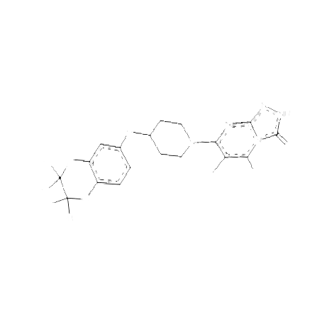 [2H]C1([2H])Oc2ccc(OC3CCN(c4nc5n[nH]c(=O)n5c(Cl)c4C)CC3)cc2OC1([2H])[2H]